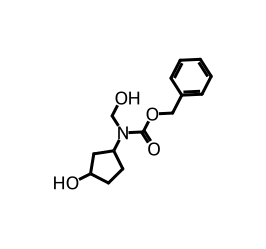 O=C(OCc1ccccc1)N(CO)C1CCC(O)C1